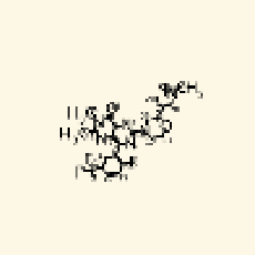 Cc1nc2c(-c3cc(C(F)(F)F)ccc3F)nc(N3CCO[C@H](c4cnn(C)c4)C3)nc2c(=O)n1C